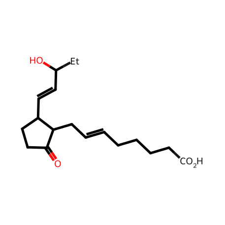 CCC(O)C=CC1CCC(=O)C1CC=CCCCCC(=O)O